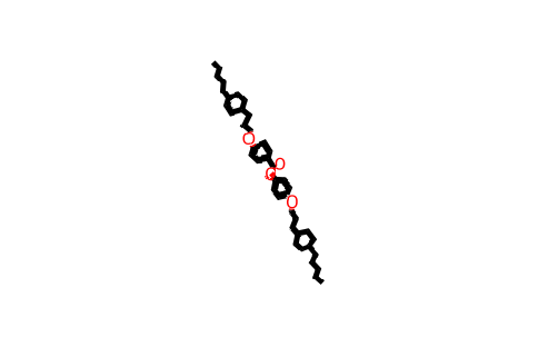 CCCCCC1CCC(CCCOc2ccc(OC(=O)c3ccc(OCCCC4CCC(CCCCC)CC4)cc3)cc2)CC1